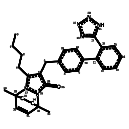 CCCCc1c(Cc2ccc(-c3ccccc3-c3nnn[nH]3)cc2)c(=O)n2n1C1(C)C=CC2(C)CC1